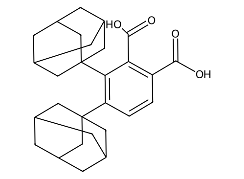 O=C(O)c1ccc(C23CC4CC(CC(C4)C2)C3)c(C23CC4CC(CC(C4)C2)C3)c1C(=O)O